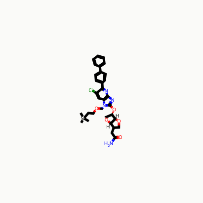 C[Si](C)(C)CCOCn1c(O[C@@H]2CO[C@@H]3C(CC(N)=O)CO[C@@H]32)nc2nc(-c3ccc(-c4ccccc4)cc3)c(Cl)cc21